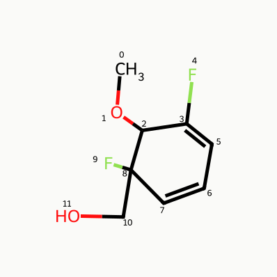 COC1C(F)=CC=CC1(F)CO